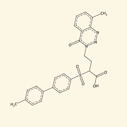 Cc1ccc(-c2ccc(S(=O)(=O)C(CCn3nnc4c(C)cccc4c3=O)C(=O)O)cc2)cc1